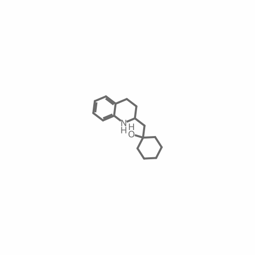 OC1(CC2CCc3ccccc3N2)CCCCC1